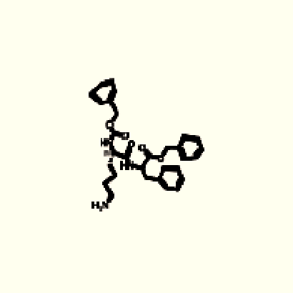 NCCCC[C@H](NC(=O)OCc1ccccc1)C(=O)NC(Cc1ccccc1)C(=O)OCc1ccccc1